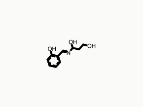 OCCC(O)N=Cc1ccccc1O